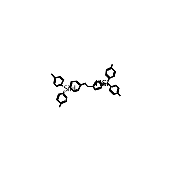 Cc1ccc([SiH](c2ccc(C)cc2)c2ccc(CCc3ccc([SiH](c4ccc(C)cc4)c4ccc(C)cc4)cc3)cc2)cc1